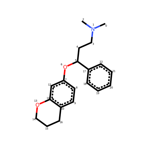 CN(C)CCC(Oc1ccc2c(c1)OCCC2)c1ccccc1